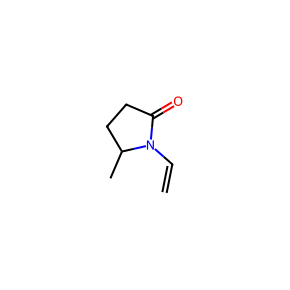 C=CN1C(=O)CCC1C